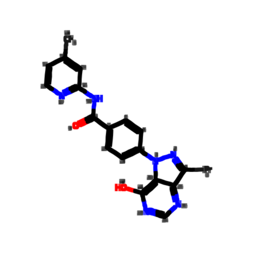 CC(C)c1nn(-c2ccc(C(=O)Nc3cc(C(F)(F)F)ccn3)cc2)c2c(O)ncnc12